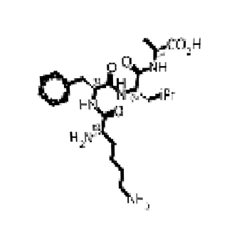 CC(C)C[C@H](NC(=O)[C@H](Cc1ccccc1)NC(=O)[C@@H](N)CCCCN)C(=O)N[C@@H](C)C(=O)O